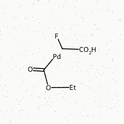 CCO[C](=O)[Pd].O=C(O)CF